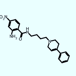 Nc1cc([N+](=O)[O-])ccc1C(=O)NCCCCN1CC=C(c2ccccc2)CC1